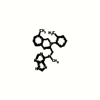 Cc1ccccc1N1Cc2c(C)cccc2C=C1CN(C)c1ncnc2[nH]cnc12